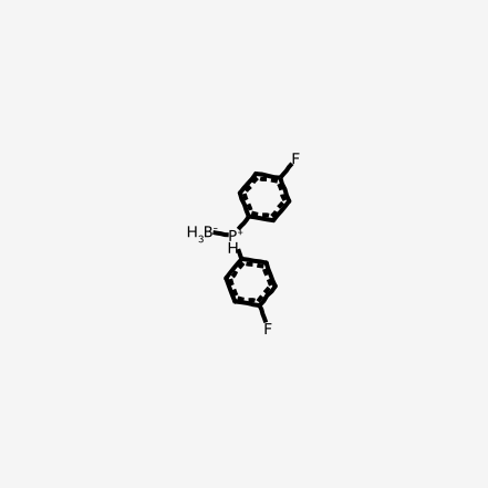 [BH3-][PH+](c1ccc(F)cc1)c1ccc(F)cc1